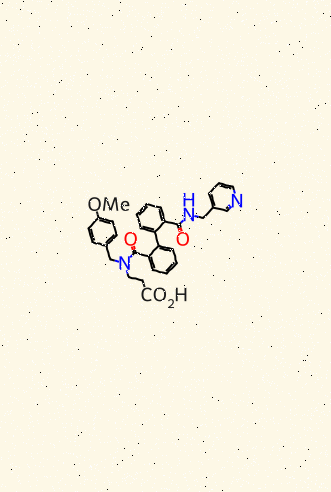 COc1ccc(CN(CCC(=O)O)C(=O)c2ccccc2-c2ccccc2C(=O)NCc2cccnc2)cc1